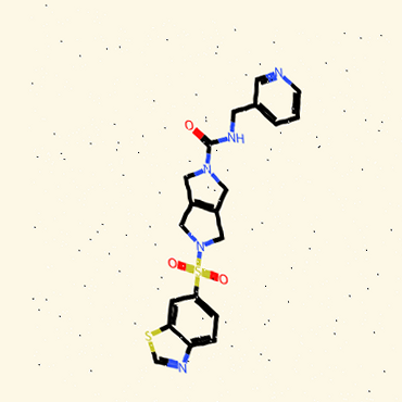 O=C(NCc1cccnc1)N1CC2=C(C1)CN(S(=O)(=O)c1ccc3ncsc3c1)C2